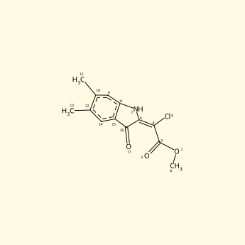 COC(=O)C(Cl)=C1Nc2cc(C)c(C)cc2C1=O